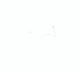 O=CC(Cl)=C1CC1